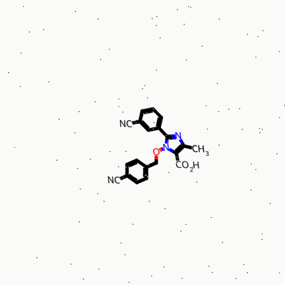 Cc1nc(-c2cccc(C#N)c2)n(OCc2ccc(C#N)cc2)c1C(=O)O